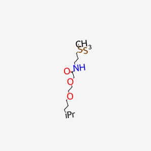 CC(C)CCCOCCOCC(=O)NCCCS(C)=S